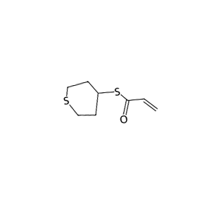 C=CC(=O)SC1CCSCC1